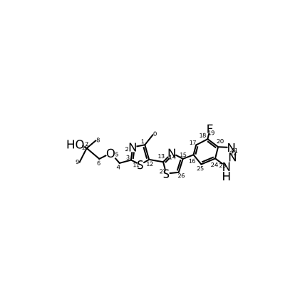 Cc1nc(COCC(C)(C)O)sc1-c1nc(-c2cc(F)c3nn[nH]c3c2)cs1